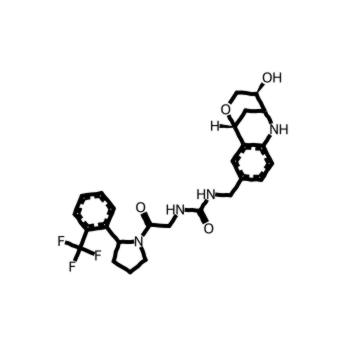 O=C(NCC(=O)N1CCCC1c1ccccc1C(F)(F)F)NCc1ccc2c(c1)[C@H]1CC(N2)[C@H](O)CO1